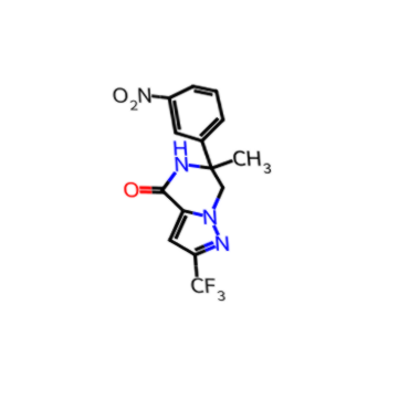 CC1(c2cccc([N+](=O)[O-])c2)Cn2nc(C(F)(F)F)cc2C(=O)N1